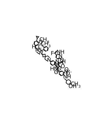 COc1cc(CN2CCN(C3CC4(CCN(c5ccc(C(=O)NS(=O)(=O)c6ccc(NCC7CCC(C)(O)CC7)c([N+](=O)[O-])c6)c(N6c7cc8c(F)c[nH]c8nc7O[C@H]7COCC[C@@H]76)c5)CC4)C3)[C@H](c3ccccc3C(C)C)C2)ccc1C1CC1